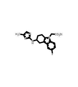 CCOC(=O)Cn1c2c(c3cc(F)ccc31)CC(Nc1nc(C)cs1)CC2